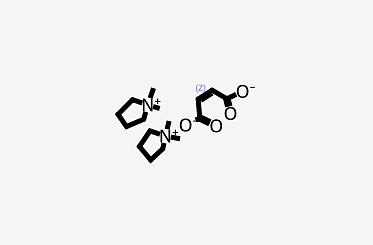 C[N+]1(C)CCCC1.C[N+]1(C)CCCC1.O=C([O-])/C=C\C(=O)[O-]